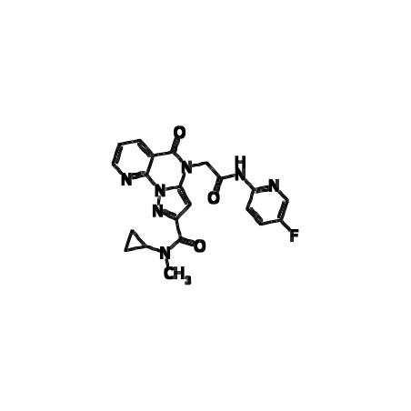 CN(C(=O)c1cc2n(CC(=O)Nc3ccc(F)cn3)c(=O)c3cccnc3n2n1)C1CC1